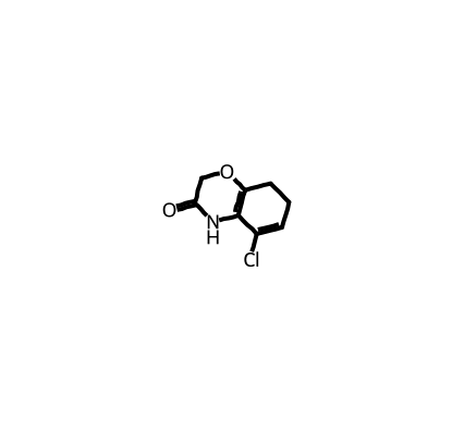 O=C1COC2=C(N1)C(Cl)=CCC2